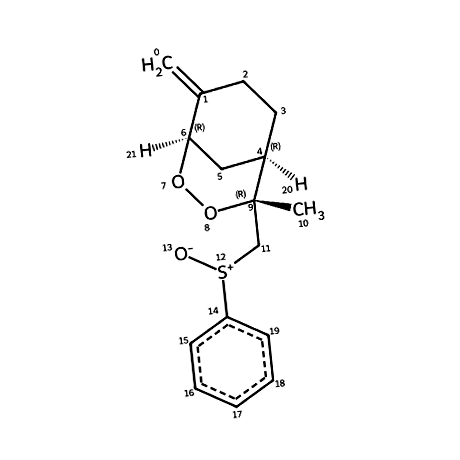 C=C1CC[C@@H]2C[C@H]1OO[C@@]2(C)C[S+]([O-])c1ccccc1